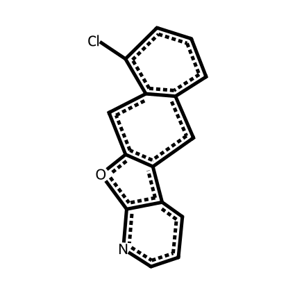 Clc1cccc2cc3c(cc12)oc1ncccc13